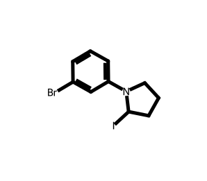 Brc1cccc(N2CCCC2I)c1